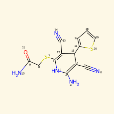 N#CC1=C(N)NC(SCC(N)=O)=C(C#N)C1c1cccs1